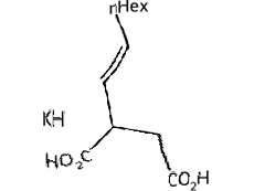 CCCCCCC=CC(CC(=O)O)C(=O)O.[KH]